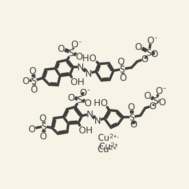 O=S(=O)([O-])OCCS(=O)(=O)c1ccc(N=Nc2c(S(=O)(=O)[O-])cc3cc(S(=O)(=O)[O-])ccc3c2O)c(O)c1.O=S(=O)([O-])OCCS(=O)(=O)c1ccc(N=Nc2c(S(=O)(=O)[O-])cc3cc(S(=O)(=O)[O-])ccc3c2O)c(O)c1.[Cu+2].[Cu+2].[Cu+2]